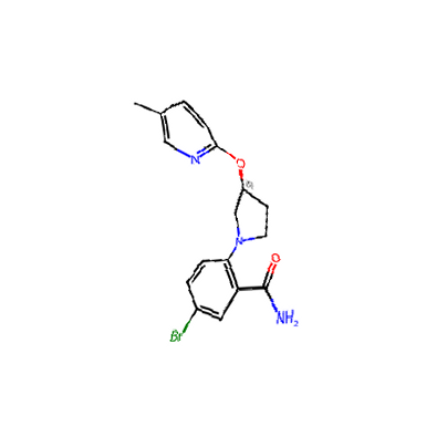 Cc1ccc(O[C@H]2CCN(c3ccc(Br)cc3C(N)=O)C2)nc1